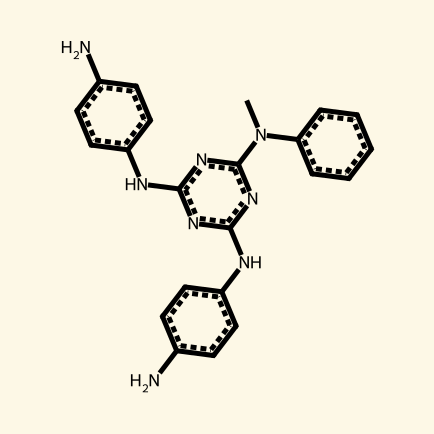 CN(c1ccccc1)c1nc(Nc2ccc(N)cc2)nc(Nc2ccc(N)cc2)n1